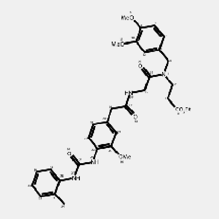 CCOC(=O)CCN(Cc1ccc(OC)c(OC)c1)C(=O)CNC(=O)Cc1ccc(NC(=O)Nc2ccccc2C)c(OC)c1